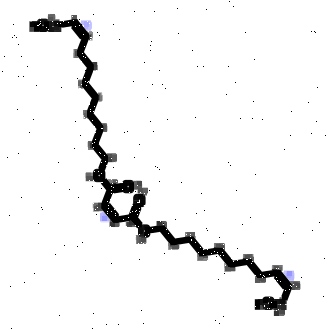 CCCCCCCC/C=C\CCCCCCCCOC(=O)/C=C\C(=O)OCCCCCCCC/C=C\CCCCCCCC